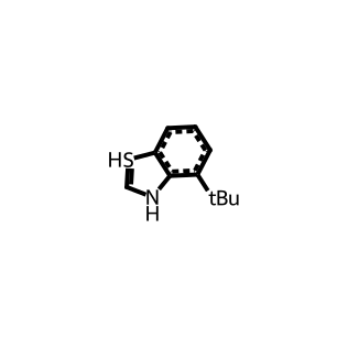 CC(C)(C)c1cccc2c1NC=[SH]2